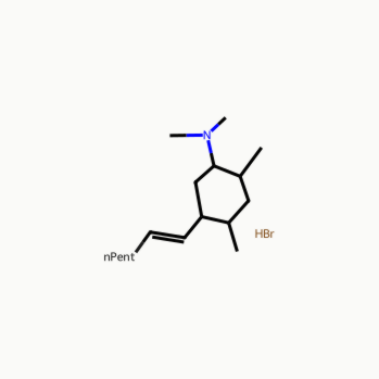 Br.CCCCCC=CC1CC(N(C)C)C(C)CC1C